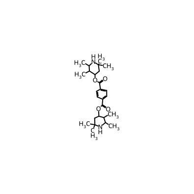 CC1NC(C)(C)CC(OC(=O)c2ccc(C(=O)OC3CC(C)(C)NC(C)C3C)cc2)C1C